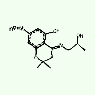 CCCCCc1cc(O)c2c(c1)OC(C)(C)CC2=NC[C@H](C)O